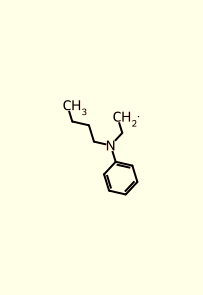 [CH2]CN(CCCC)c1ccccc1